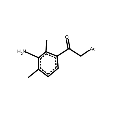 CC(=O)CC(=O)c1ccc(C)c(N)c1C